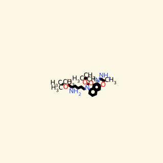 CC1Oc2cc3c(cc2N=C1N)C(N(CCCCC(N)C(=O)OC(C)(C)C)C(=O)OC(C)(C)C)CCC3